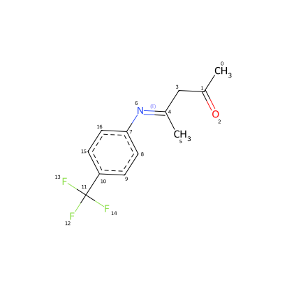 CC(=O)C/C(C)=N/c1ccc(C(F)(F)F)cc1